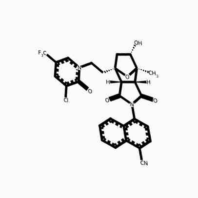 C[C@]12O[C@](CCn3cc(C(F)(F)F)cc(Cl)c3=O)(C[C@@H]1O)[C@H]1C(=O)N(c3ccc(C#N)c4ccccc34)C(=O)[C@H]12